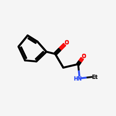 CCNC(=O)CC(=O)c1ccccc1